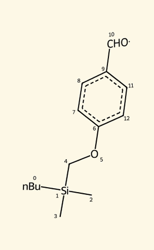 CCCC[Si](C)(C)COc1ccc([C]=O)cc1